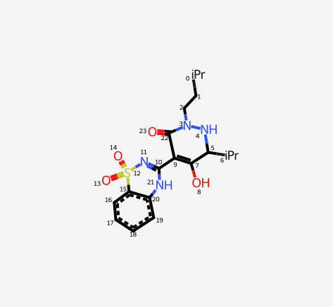 CC(C)CCN1NC(C(C)C)C(O)=C(C2=NS(=O)(=O)c3ccccc3N2)C1=O